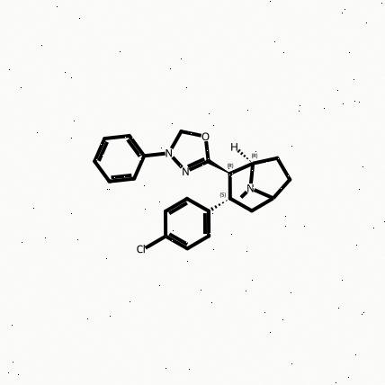 CN1C2CC[C@@H]1[C@H](C1=NN(c3ccccc3)CO1)[C@@H](c1ccc(Cl)cc1)C2